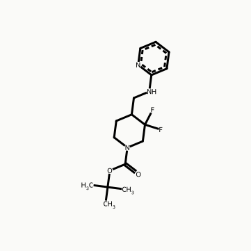 CC(C)(C)OC(=O)N1CCC(CNc2ccccn2)C(F)(F)C1